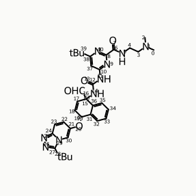 CN(C)CCNC(=O)c1nc(NC(=O)N[C@@]2(C=O)C=C[C@@H](Oc3ccc4nnc(C(C)(C)C)n4c3)c3ccccc32)cc(C(C)(C)C)n1